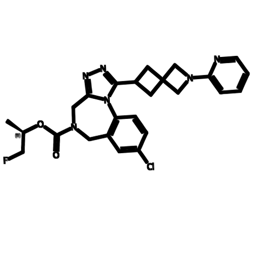 C[C@H](CF)OC(=O)N1Cc2cc(Cl)ccc2-n2c(nnc2C2CC3(C2)CN(c2ccccn2)C3)C1